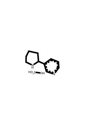 O=S(=O)(O)O.c1cncc(C2CCCCN2)c1